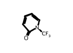 O=c1ccccn1C(F)(F)F